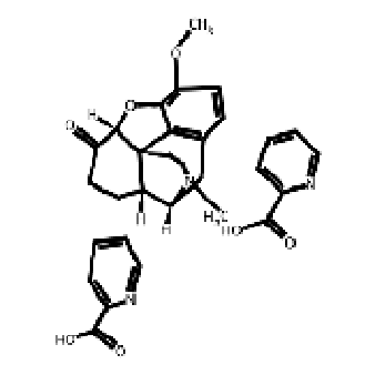 COc1ccc2c3c1O[C@H]1C(=O)CC[C@H]4[C@@H](C2)N(C)CC[C@]314.O=C(O)c1ccccn1.O=C(O)c1ccccn1